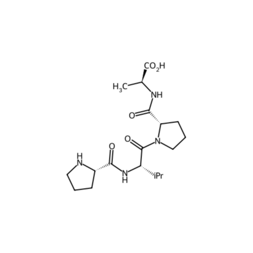 CC(C)[C@H](NC(=O)[C@@H]1CCCN1)C(=O)N1CCC[C@H]1C(=O)N[C@@H](C)C(=O)O